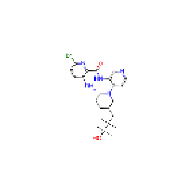 CC(C)(CC1CCCN(c2ccncc2NC(=O)c2nc(Br)ccc2N)C1)[Si](C)(C)O